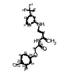 C=C(CCNc1cc(C(F)(F)F)ccn1)NC(=O)COc1ccc(Cl)c(F)c1